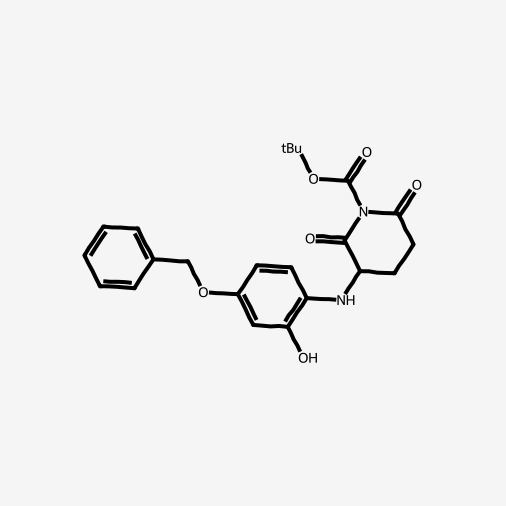 CC(C)(C)OC(=O)N1C(=O)CCC(Nc2ccc(OCc3ccccc3)cc2O)C1=O